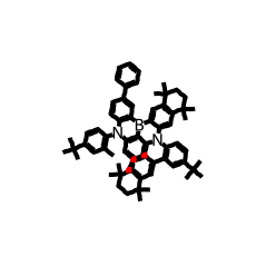 Cc1cc2c3c(c1)N(c1ccc(C(C)(C)C)cc1-c1ccc4c(c1)C(C)(C)CCC4(C)C)c1cc4c(cc1B3c1cc(-c3ccccc3)ccc1N2c1ccc(C(C)(C)C)cc1C)C(C)(C)CCC4(C)C